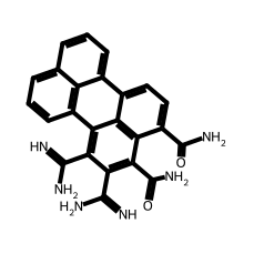 N=C(N)c1c(C(N)=O)c2c(C(N)=O)ccc3c4cccc5cccc(c(c1C(=N)N)c23)c54